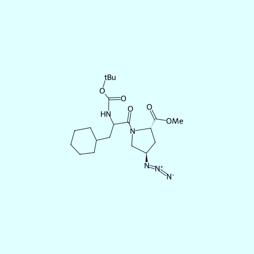 COC(=O)[C@@H]1C[C@@H](N=[N+]=[N-])CN1C(=O)C(CC1CCCCC1)NC(=O)OC(C)(C)C